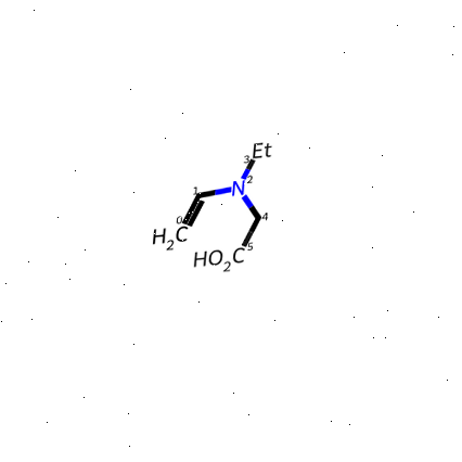 C=CN(CC)CC(=O)O